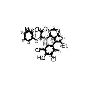 CCc1sc2ncnc(N[C@H](Cc3ccccc3)C(=O)OC)c2c1-c1cc(Cl)c(O)c(Cl)c1C